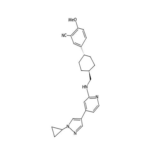 COc1ccc([C@H]2CC[C@H](CNc3cc(-c4cnn(C5CC5)c4)ccn3)CC2)cc1C#N